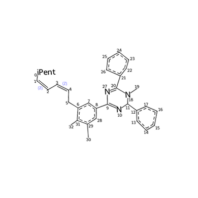 CCCC(C)/C=C\C=C/Cc1cc(C2=NC(c3ccccc3)N(C)C(c3ccccc3)=N2)cc(C)c1C